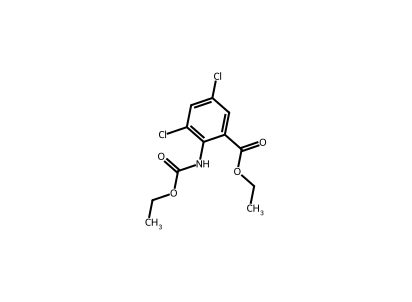 CCOC(=O)Nc1c(Cl)cc(Cl)cc1C(=O)OCC